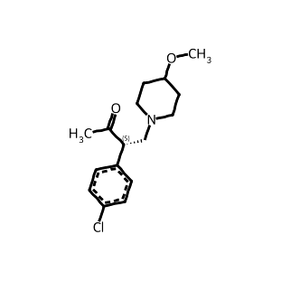 COC1CCN(C[C@@H](C(C)=O)c2ccc(Cl)cc2)CC1